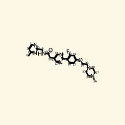 Cc1ccnc(CNC(=O)Cc2cnc(-c3ccc(OCCN4CCN(C)CC4)cc3F)nc2)n1